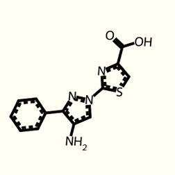 Nc1cn(-c2nc(C(=O)O)cs2)nc1-c1ccccc1